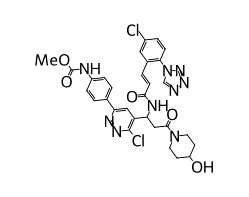 COC(=O)Nc1ccc(-c2cc(C(CC(=O)N3CCC(O)CC3)NC(=O)C=Cc3cc(Cl)ccc3-n3cnnn3)c(Cl)nn2)cc1